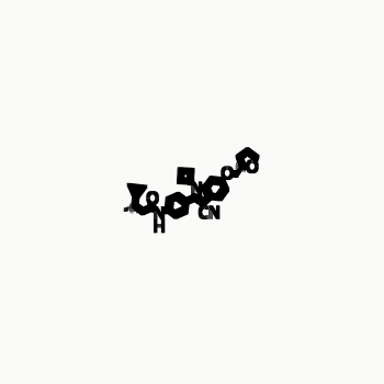 C[C@@H](CC(=O)Nc1ccc(-c2c(C#N)c3ccc(OC[C@H]4CCCO4)cc3n2C2CCC2)cc1)C1CC1